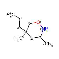 CCCC1(C)CONC(C)C1